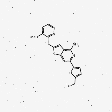 COc1cccnc1Cc1cc2c(N)nc(-c3ccc(CF)o3)nc2s1